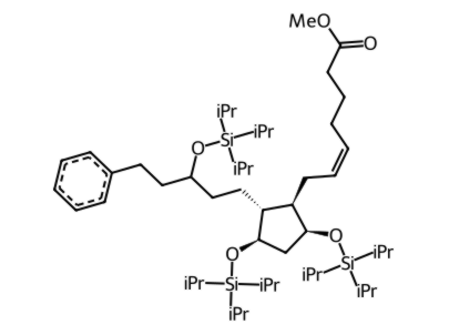 COC(=O)CCC/C=C\C[C@@H]1[C@@H](CCC(CCc2ccccc2)O[Si](C(C)C)(C(C)C)C(C)C)[C@H](O[Si](C(C)C)(C(C)C)C(C)C)C[C@@H]1O[Si](C(C)C)(C(C)C)C(C)C